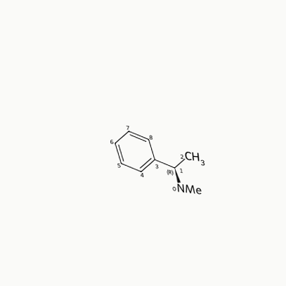 CN[C@H](C)c1ccccc1